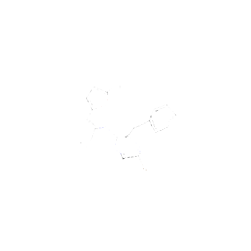 O=C(O)/C(=C/c1ccc(C(F)(F)F)o1)Nc1ncc(Br)nc1Cc1ccccc1